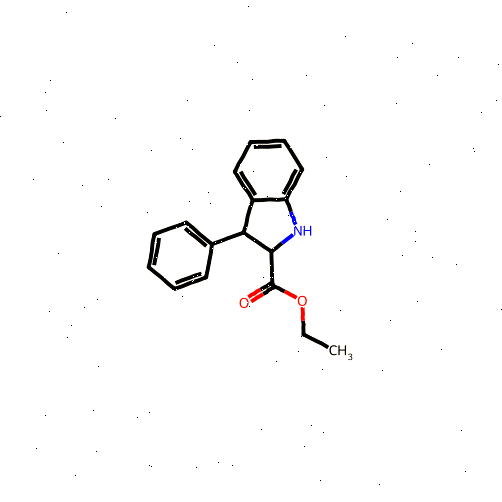 CCOC(=O)C1Nc2ccccc2C1c1ccccc1